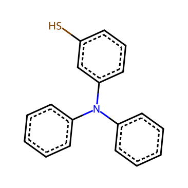 Sc1cccc(N(c2ccccc2)c2ccccc2)c1